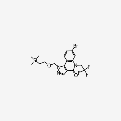 C[Si](C)(C)CCOCn1ncc2c(=O)n(CC(F)(F)F)c3cc(Br)ccc3c21